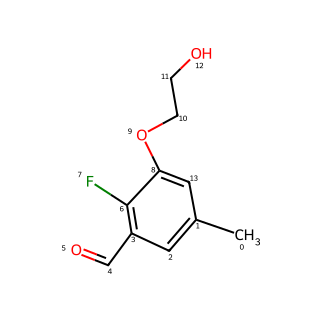 Cc1cc(C=O)c(F)c(OCCO)c1